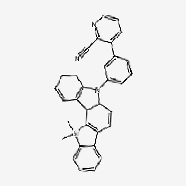 C[Si]1(C)C2=C(C=CC3C2C2=C(CCC=C2)N3c2cccc(-c3cccnc3C#N)c2)c2ccccc21